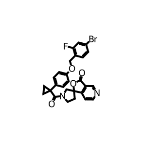 O=C1OC2(CCN(C(=O)C3(c4ccc(OCc5ccc(Br)cc5F)cc4)CC3)C2)c2ccncc21